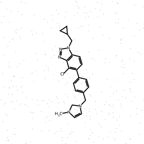 CN1C=CN(Cc2ccc(-c3ccc4c(nnn4CC4CC4)c3Cl)cc2)C1